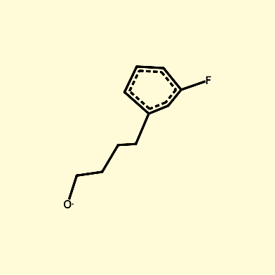 [O]CCCCc1cccc(F)c1